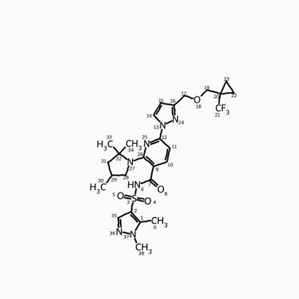 Cc1c(S(=O)(=O)NC(=O)c2ccc(-n3ccc(COCC4(C(F)(F)F)CC4)n3)nc2N2CC(C)CC2(C)C)cnn1C